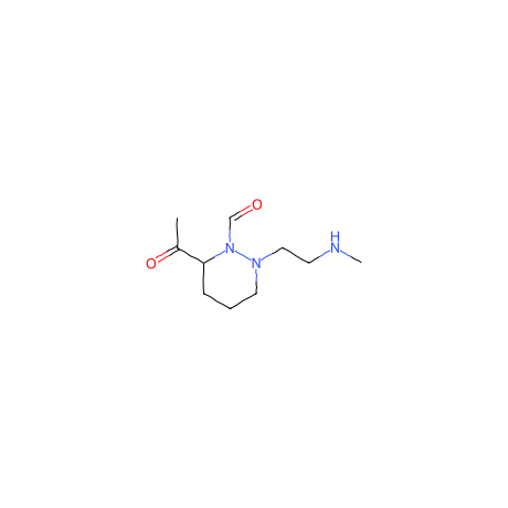 CNCCN1CCCC(C(C)=O)N1C=O